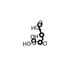 OC[C@@H]1CC(O)C[C@H](c2ccc(Cl)c(Cc3ccc(C#CC4(O)CCOCC4)cc3)c2)O1